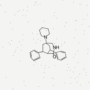 O=C1NCC2(N3CCCCC3)CC(c3ccccc3)C1C(c1ccccc1)C2